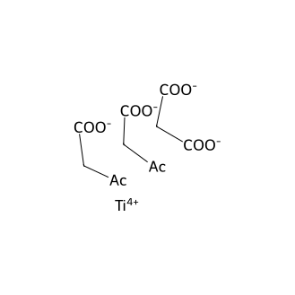 CC(=O)CC(=O)[O-].CC(=O)CC(=O)[O-].O=C([O-])CC(=O)[O-].[Ti+4]